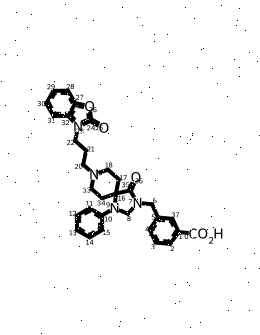 O=C(O)c1cccc(CN2CN(c3ccccc3)C3(CCN(CCCn4c(=O)oc5ccccc54)CC3)C2=O)c1